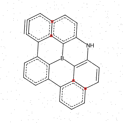 c1cccc(-c2cccc(-c3ccccc3)c2B2C3=C(C=CCC3)Nc3ccccc32)c#1